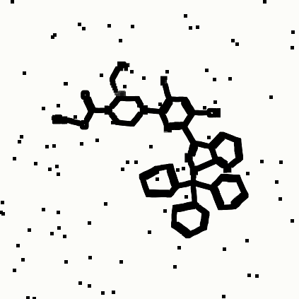 CC(C)C[C@@H]1CN(c2nc(-c3nn(C(c4ccccc4)(c4ccccc4)c4ccccc4)c4ncccc34)c(C#N)cc2F)CCN1C(=O)OC(C)(C)C